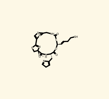 C[C@@]12CSC(=N1)c1csc(n1)CNC(=O)C[C@@H](/C=C/CCS)OC(=O)[C@H](CC1=CCC=N1)NC2=O